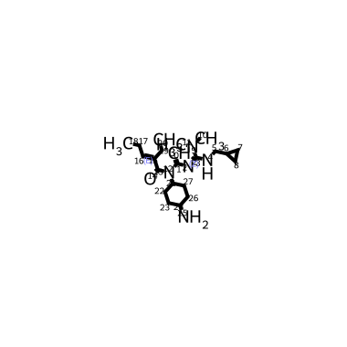 C=C(/N=C(/NCC1CC1)N(C)C)N(C(=O)/C(=C/CC)CC)C1CCC(N)CC1